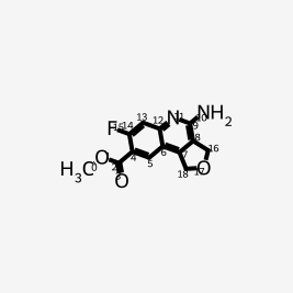 COC(=O)c1cc2c3c(c(N)nc2cc1F)COC3